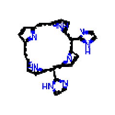 C1=Cc2cc3ccc([nH]3)c(-c3ncc[nH]3)c3nc(c(-c4ncc[nH]4)c4ccc(cc1n2)[nH]4)C=C3